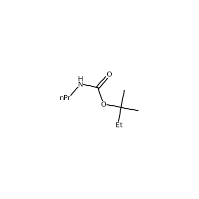 CCCNC(=O)OC(C)(C)CC